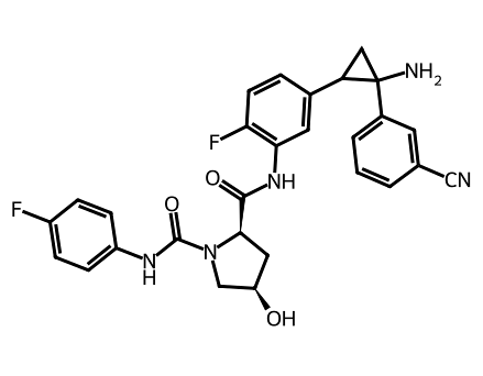 N#Cc1cccc(C2(N)CC2c2ccc(F)c(NC(=O)[C@H]3C[C@@H](O)CN3C(=O)Nc3ccc(F)cc3)c2)c1